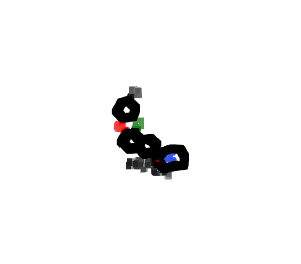 CC[C@H]1CC[C@@H](Oc2ccc3cc([C@H](C)N4C5CCCC4CC(C(=O)O)C5)ccc3c2Cl)CC1